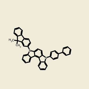 CC1(C)c2ccccc2-c2ccc(-n3c4ccccc4c4c5c6ccccc6n(-c6ccc(-c7ccccc7)cc6)c5ccc43)cc21